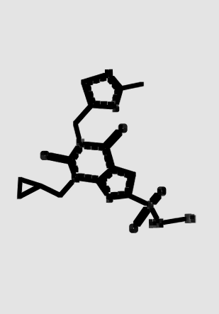 CCNS(=O)(=O)c1cc2c(=O)n(Cc3cnc(C)s3)c(=O)n(CC3CC3)c2s1